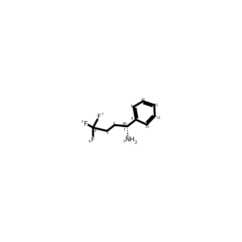 N[C@H](CCC(F)(F)F)c1ccccc1